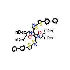 CCCCCCCCCCCCC(CCCCCCCCCC)CN1C(=O)C2=C(C3CN=C(C4=CCC(c5ccc(-c6ccccc6)cc5)S4)S3)N(CC(CCCCCCCCCC)CCCCCCCCCCCC)C(=O)C2=C1c1cnc(-c2ccc(-c3ccc(-c4ccccc4)cc3)s2)s1